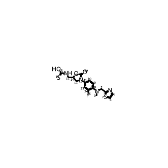 CN(Cc1nccs1)c1ccc(N2CC(CNC(O)=S)OC2=O)cc1F